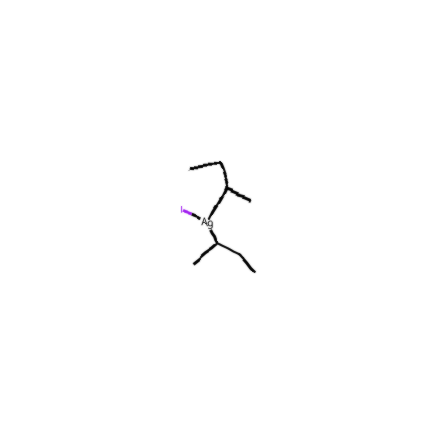 CC[CH](C)[Ag]([I])[CH](C)CC